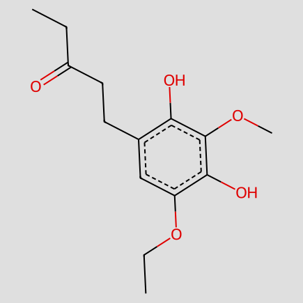 CCOc1cc(CCC(=O)CC)c(O)c(OC)c1O